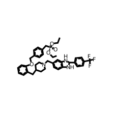 CCOP(=O)(Cc1ccc(COc2ccccc2CC2CCN(Cc3ccc4c(c3)NC(c3ccc(C(F)(F)F)cc3)N4)CC2)cc1)OCC